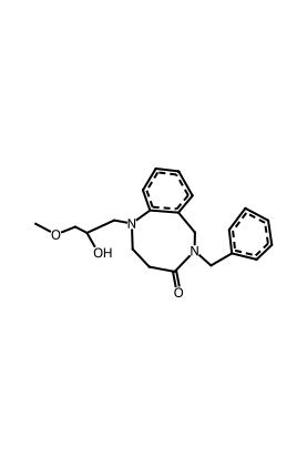 COCC(O)CN1CCC(=O)N(Cc2ccccc2)Cc2ccccc21